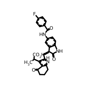 CC(C(=O)O)c1c(/C=C2\C(=O)Nc3ccc(NC(=O)c4ccc(F)cc4)cc32)[nH]c2c1C(=O)CCC2